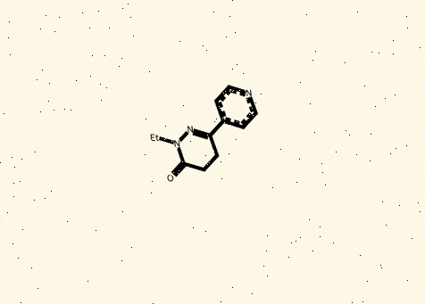 CCN1N=C(c2ccncc2)CCC1=O